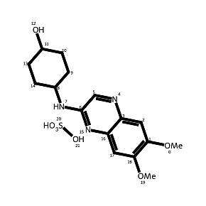 COc1cc2ncc(NC3CCC(O)CC3)nc2cc1OC.O=S(=O)(O)O